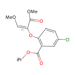 CO/C=C(/Oc1ccc(Cl)cc1C(=O)OC(C)C)C(=O)OC